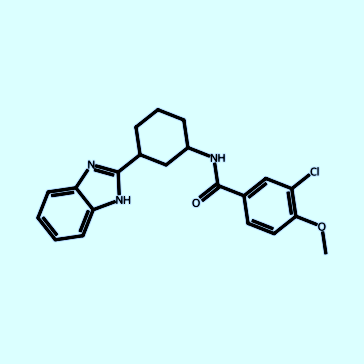 COc1ccc(C(=O)NC2CCCC(c3nc4ccccc4[nH]3)C2)cc1Cl